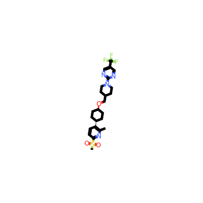 Cc1nc(S(C)(=O)=O)ccc1[C@H]1CC[C@H](OCC2CCN(c3ncc(C(F)(F)F)cn3)CC2)CC1